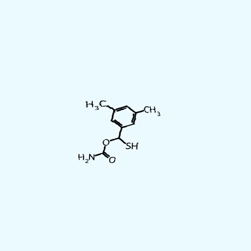 Cc1cc(C)cc(C(S)OC(N)=O)c1